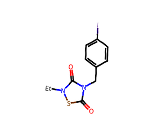 CCn1sc(=O)n(Cc2ccc(I)cc2)c1=O